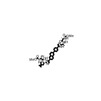 CCN(C(=O)[C@H](C)NC(=O)OC)[C@@H](C)c1ncc(-c2ccc(-c3ccc4cc(-c5cnc([C@@H]6CC7(CC7)CN6C(=O)[C@@H](NC(=O)OC)C(C)C)[nH]5)ccc4c3)cc2)[nH]1